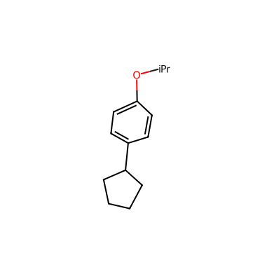 CC(C)Oc1ccc(C2CCCC2)cc1